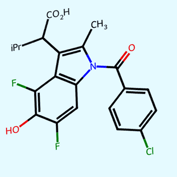 Cc1c(C(C(=O)O)C(C)C)c2c(F)c(O)c(F)cc2n1C(=O)c1ccc(Cl)cc1